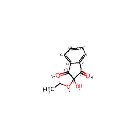 CCOC1(O)C(=O)c2ccccc2C1=O